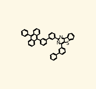 c1ccc(-c2cccc(-c3nc(-c4cccc(-c5cccc(-c6c7ccccc7c(-c7ccccc7)c7ccccc67)c5)c4)nc4c3sc3ccccc34)c2)cc1